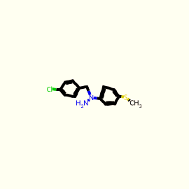 CSc1ccc(N(N)Cc2ccc(Cl)cc2)cc1